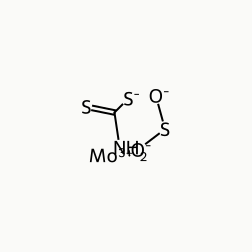 NC(=S)[S-].[Mo+3].[O-]S[O-]